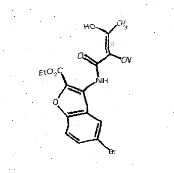 CCOC(=O)c1oc2ccc(Br)cc2c1NC(=O)/C(C#N)=C(/C)O